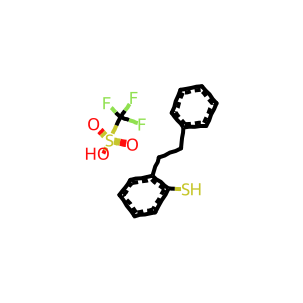 O=S(=O)(O)C(F)(F)F.Sc1ccccc1CCc1ccccc1